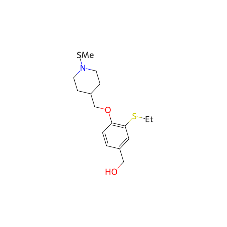 CCSc1cc(CO)ccc1OCC1CCN(SC)CC1